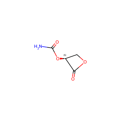 NC(=O)O[C@H]1COC1=O